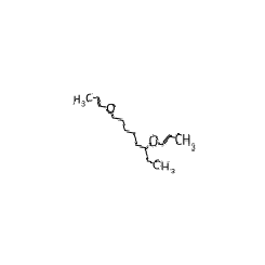 CC=COCCCCCC(CC)OC=CC